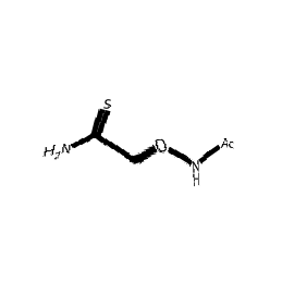 CC(=O)NOCC(N)=S